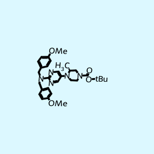 COc1ccc(CN(Cc2ccc(OC)cc2)c2ncc(N3CCN(C(=O)OC(C)(C)C)C[C@@H]3C)cn2)cc1